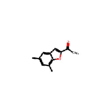 COC(=O)c1cc2cc(C)cc(C)c2o1